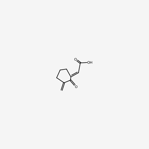 C=C1CCC/C(=C\C(=O)O)C1=O